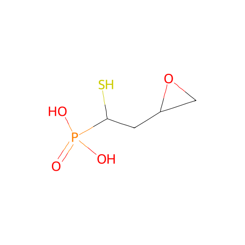 O=P(O)(O)C(S)CC1CO1